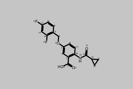 O=C(O)c1cc(OCc2ccc(F)cc2F)ccc1NC(=O)C1CC1